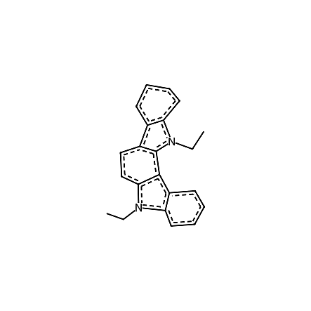 CCn1c2ccccc2c2c1ccc1c3ccccc3n(CC)c12